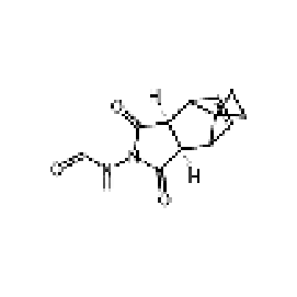 O=CNN1C(=O)[C@@H]2C3C=CC([C@@H]2C1=O)C31CC1